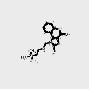 C[Si](C)(C)CCOCn1c(Br)nc2c(=O)oc3ccccc3c21